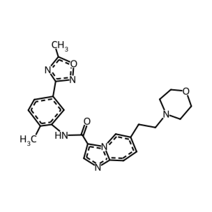 Cc1nc(-c2ccc(C)c(NC(=O)c3cnc4ccc(CCN5CCOCC5)cn34)c2)no1